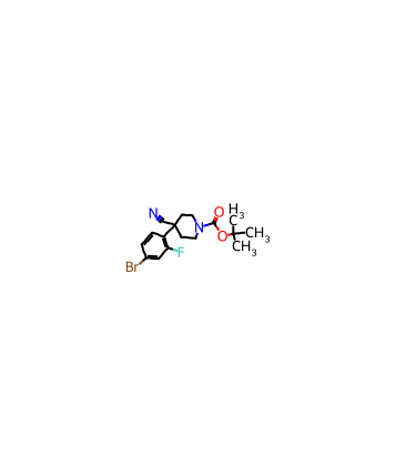 CC(C)(C)OC(=O)N1CCC(C#N)(c2ccc(Br)cc2F)CC1